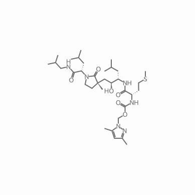 CSCC[C@H](NC(=O)OCn1nc(C)cc1C)C(=O)N[C@@H](CC(C)C)[C@@H](O)C[C@]1(C)CCN([C@@H](CC(C)C)C(=O)NCC(C)C)C1=O